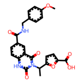 COc1ccc(CNC(=O)c2ccc3[nH]c(=O)n(C(C)c4ccc(C(=O)O)o4)c(=O)c3c2)cc1